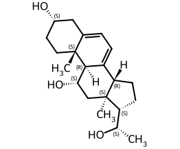 C[C@H](O)[C@H]1CC[C@H]2C3=CC=C4C[C@@H](O)CC[C@@]4(C)[C@@H]3[C@@H](O)C[C@]12C